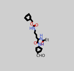 CCC(=O)NC(CCCCNC(=O)OCc1ccccc1)C(=O)Nc1ccc(C=O)cc1